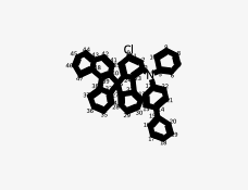 Clc1cc(N(c2ccccc2)c2ccc(-c3ccccc3)cc2)c2c(c1)C1(c3ccccc3-2)c2ccccc2-c2c1ccc1ccccc21